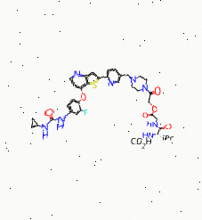 CC(C)[C@H](NC(=O)O)C(=O)NCC(=O)OCC(=O)N1CCN(Cc2ccc(-c3cc4nccc(Oc5ccc(NC(=O)NC6CC6)cc5F)c4s3)nc2)CC1